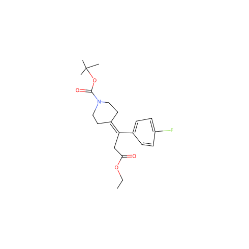 CCOC(=O)CC(=C1CCN(C(=O)OC(C)(C)C)CC1)c1ccc(F)cc1